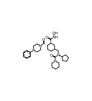 O=C(NO)[C@H]1CC(CN(C(=O)N2CCCCC2)C2CCCC2)CC[C@@H]1C(=O)N1CCN(c2ccccc2)CC1